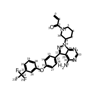 C=CC(=O)N1CCCC(n2nc(-c3ccc(Oc4cccc(C(F)(F)F)c4)cc3)c3c(N)ncnc32)C1